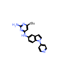 CC(C)(C)c1cc(Nc2ccc3c(ccn3-c3ccncc3)c2)nc(N)n1